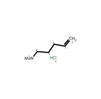 C=CCCCNC.Cl